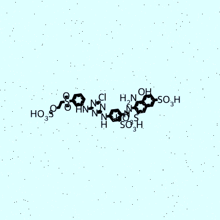 Nc1c(N=Nc2ccc(Nc3nc(Cl)nc(Nc4cccc(S(=O)(=O)CCOS(=O)(=O)O)c4)n3)cc2S(=O)(=O)O)c(S(=O)(=O)O)cc2cc(S(=O)(=O)O)cc(O)c12